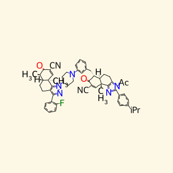 CC(=O)n1c(-c2ccc(C(C)C)cc2)nc2c1CC[C@@H]1[C@@H](Cc3cccc(N4CCC(n5nc(-c6ccccc6F)c6c5[C@]5(C)C=C(C#N)C(=O)[C@H](C)[C@H]5CC6)CC4)c3)C(=O)C(C#N)=C[C@@]21C